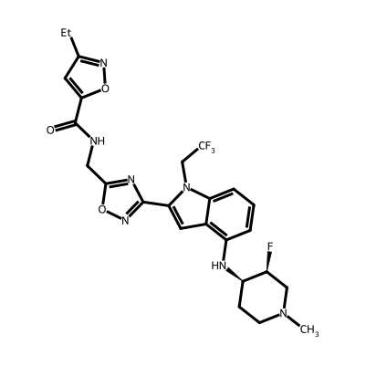 CCc1cc(C(=O)NCc2nc(-c3cc4c(N[C@@H]5CCN(C)C[C@@H]5F)cccc4n3CC(F)(F)F)no2)on1